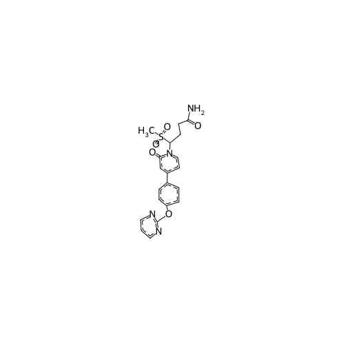 CS(=O)(=O)C(CCC(N)=O)n1ccc(-c2ccc(Oc3ncccn3)cc2)cc1=O